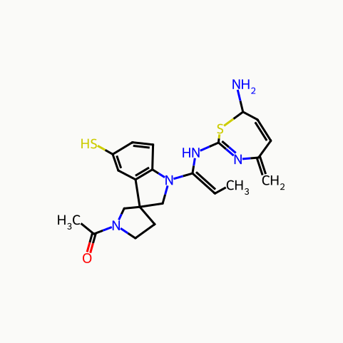 C=C1C=CC(N)SC(NC(=CC)N2CC3(CCN(C(C)=O)C3)c3cc(S)ccc32)=N1